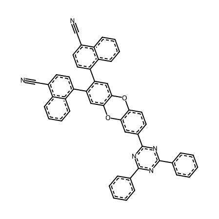 N#Cc1ccc(-c2cc3c(cc2-c2ccc(C#N)c4ccccc24)Oc2cc(-c4nc(-c5ccccc5)nc(-c5ccccc5)n4)ccc2O3)c2ccccc12